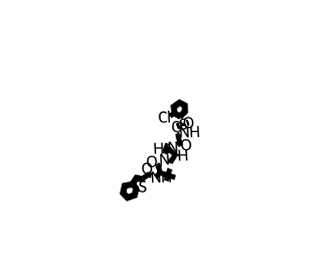 CC(C)(C)C(NC(=O)c1cc2ccccc2s1)C(=O)N1C[C@@H]2C[C@H]1CN2C(=O)CNS(=O)(=O)c1ccccc1Cl